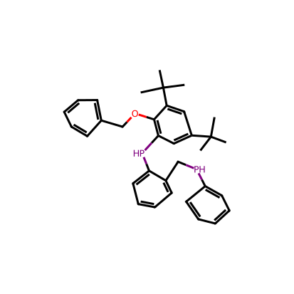 CC(C)(C)c1cc(Pc2ccccc2CPc2ccccc2)c(OCc2ccccc2)c(C(C)(C)C)c1